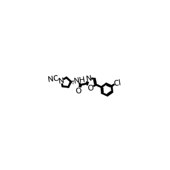 N#CN1CC[C@@H](NC(=O)c2ncc(-c3cccc(Cl)c3)o2)C1